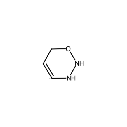 [C]1=CCONN1